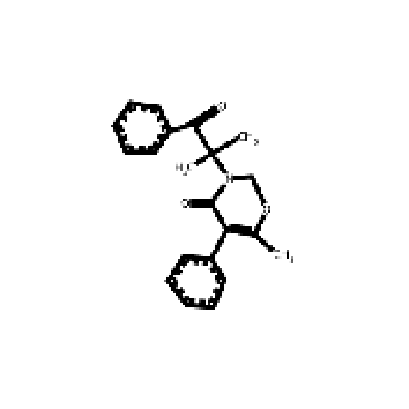 CC1=C(c2ccccc2)C(=O)N(C(C)(C)C(=O)c2ccccc2)CO1